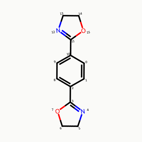 c1cc(C2=NCCO2)ccc1C1=NCCO1